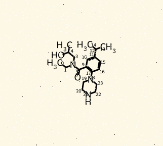 CCN(CC(C)O)C(=O)c1cc(C(C)C)ccc1N1CCNCC1